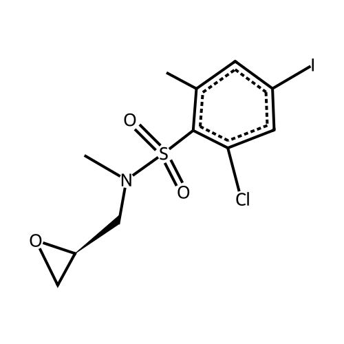 Cc1cc(I)cc(Cl)c1S(=O)(=O)N(C)C[C@H]1CO1